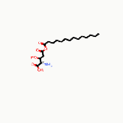 CCCCCCCCCCCCCC(=O)OC(=O)CC(O)[C@H](N)C(=O)O